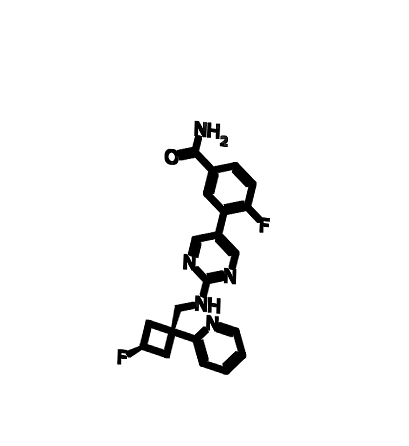 NC(=O)c1ccc(F)c(-c2cnc(NC[C@]3(c4ccccn4)C[C@H](F)C3)nc2)c1